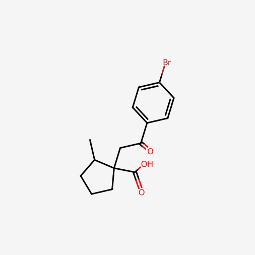 CC1CCCC1(CC(=O)c1ccc(Br)cc1)C(=O)O